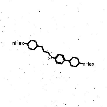 CCCCCCC1CCC(CCCOc2ccc(C3CCC(CCCCCC)CC3)cc2)CC1